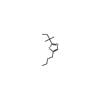 CCCCc1cnc(C(C)(C)CC)s1